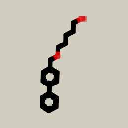 OCCCCCOCc1ccc(-c2ccccc2)cc1